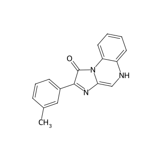 Cc1cccc(-c2nc3c[nH]c4ccccc4n-3c2=O)c1